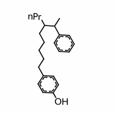 CCCC(CCCCCc1ccc(O)cc1)C(C)c1ccccc1